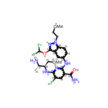 COCCn1nc(OC(F)F)c2cc(Nc3nc(N[C@H](COC)[C@H](C)N)c(F)cc3C(N)=O)ccc21